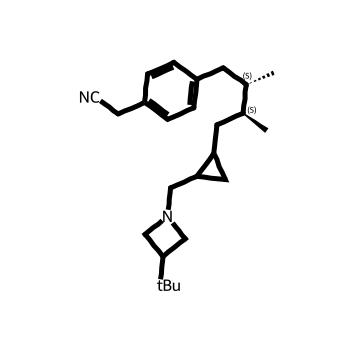 C[C@@H](Cc1ccc(CC#N)cc1)[C@@H](C)CC1CC1CN1CC(C(C)(C)C)C1